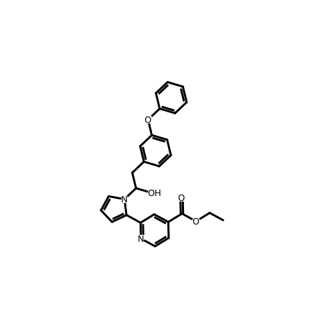 CCOC(=O)c1ccnc(-c2cccn2C(O)Cc2cccc(Oc3ccccc3)c2)c1